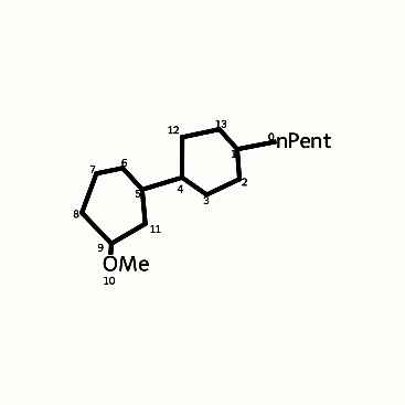 CCCCCC1CCC(C2CCCC(OC)C2)CC1